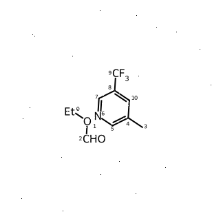 CCOC=O.Cc1cncc(C(F)(F)F)c1